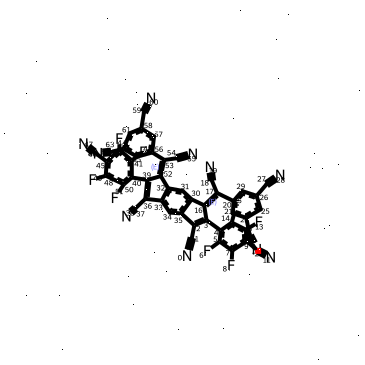 N#CC1=C(c2c(F)c(F)c(C#N)c(F)c2F)/C(=C(/C#N)c2cc(C#N)cc(C#N)c2)c2cc3c(cc21)C(C#N)=C(c1c(F)c(F)c(C#N)c(F)c1F)/C3=C(/C#N)c1cc(C#N)cc(C#N)c1